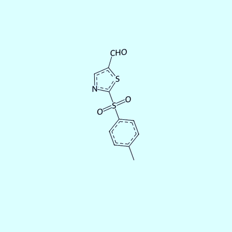 Cc1ccc(S(=O)(=O)c2ncc(C=O)s2)cc1